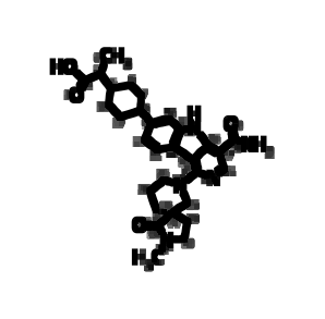 CC(C(=O)O)C1CCC(c2ccc3c(c2)[nH]c2c(C(N)=O)cnc(N4CCC[C@@]5(CCN(C)C5=O)C4)c23)CC1